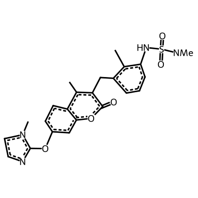 CNS(=O)(=O)Nc1cccc(Cc2c(C)c3ccc(Oc4nccn4C)cc3oc2=O)c1C